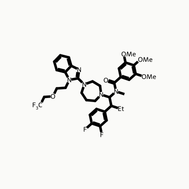 CCC(c1ccc(F)c(F)c1)C(N1CCCN(c2nc3ccccc3n2CCOCC(F)(F)F)CC1)N(C)C(=O)c1cc(OC)c(OC)c(OC)c1